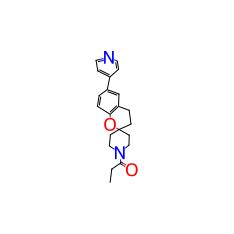 CCC(=O)N1CCC2(CCc3cc(-c4ccncc4)ccc3O2)CC1